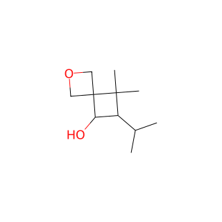 CC(C)C1C(O)C2(COC2)C1(C)C